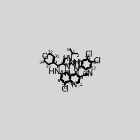 CC(C)N1C=C([C@@H](Nc2cc(Cl)c3ncc(C#N)c(Nc4ccc(Cl)c(Cl)c4)c3c2)C2=CCOCC2)NN1